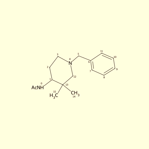 CC(=O)NC1CCN(Cc2ccccc2)CC1(C)C